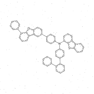 c1ccc(-c2ccccc2-c2ccc(N(c3ccc(-c4ccc5oc6c(-c7ccccc7)cccc6c5c4)cc3)c3cccc4c3sc3ccccc34)cc2)cc1